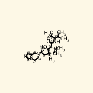 CC(=O)[C@H](NC(=O)[C@@H]([C@H](O)[C@H](C)CC(=O)N1CCn2cnnc2C1)N(C)C)C(C)C